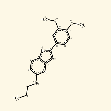 CCCNc1ccc2oc(-c3ccc(OC)c(OC)c3)cc2c1